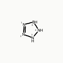 B1N=NNN1